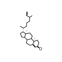 C=CC(C)CCCC(C)[C@H]1CCC2C3CCC4=CC(=O)CC[C@]4(C)C3CC[C@@]21C